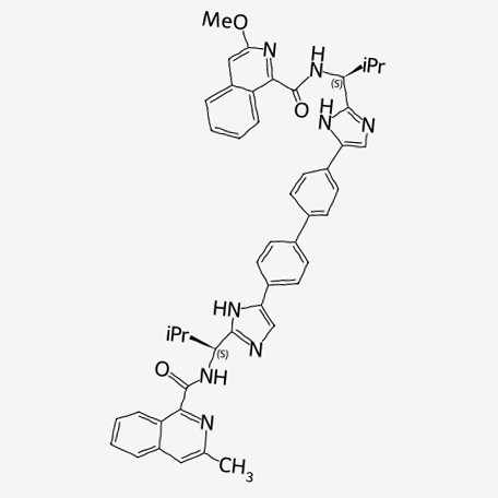 COc1cc2ccccc2c(C(=O)N[C@H](c2ncc(-c3ccc(-c4ccc(-c5cnc([C@@H](NC(=O)c6nc(C)cc7ccccc67)C(C)C)[nH]5)cc4)cc3)[nH]2)C(C)C)n1